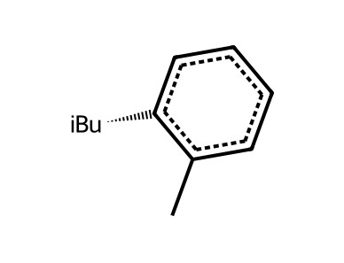 CC[C@@H](C)c1ccccc1C